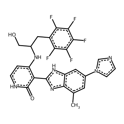 Cc1cc(-n2ccnc2)cc2[nH]c(-c3c(NC(CO)Cc4c(F)c(F)c(F)c(F)c4F)cc[nH]c3=O)nc12